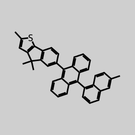 Cc1ccc2c(-c3c4ccccc4c(-c4ccc5c(c4)C(C)(C)c4cc(C)sc4-5)c4ccccc34)cccc2c1